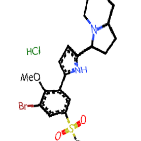 CCS(=O)(=O)c1cc(Br)c(OC)c(-c2ccc(C3CCC4CCCCN43)[nH]2)c1.Cl